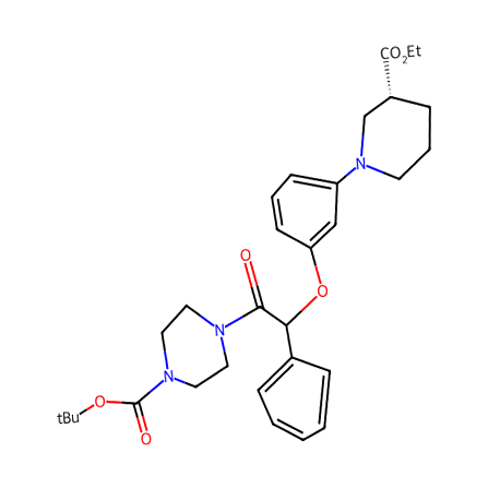 CCOC(=O)[C@@H]1CCCN(c2cccc(OC(C(=O)N3CCN(C(=O)OC(C)(C)C)CC3)c3ccccc3)c2)C1